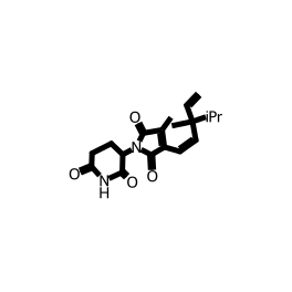 C=CC(C)(/C=C\C1=C(C)C(=O)N(C2CCC(=O)NC2=O)C1=O)C(C)C